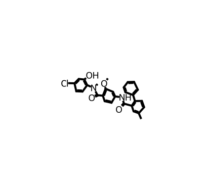 COc1cc(NC(=O)c2cc(C)ccc2-c2ccccc2)ccc1C(=O)N(C)c1ccc(Cl)cc1O